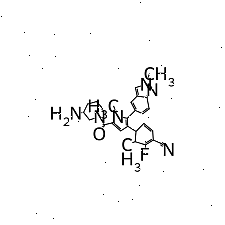 CC1C(F)=C(C#N)C=CC1c1cc(C(=O)N2CCC[C@@H](N)C2)n(C)c1-c1ccc2nn(C)cc2c1